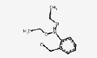 CCO[SiH](OCC)c1ccccc1CCl